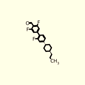 CCC[C@H]1CC[C@H](c2ccc(-c3cc(F)c(C=O)c(F)c3)c(F)c2)CC1